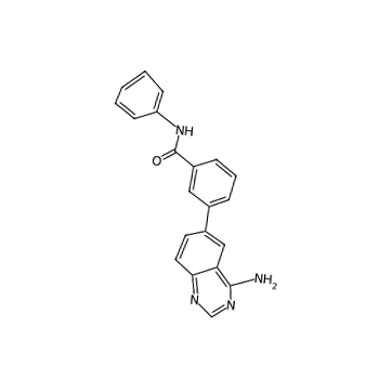 Nc1ncnc2ccc(-c3cccc(C(=O)Nc4ccccc4)c3)cc12